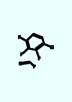 Fc1ccc(Cl)c(F)c1F.O=CF